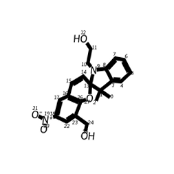 CC1(C)c2ccccc2N(CCO)C12C=Cc1cc([N+](=O)[O-])cc(CO)c1O2